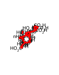 CCCCCC[C@@H]1NC(=O)[C@H](Cc2ccc(CNC(=O)COCCOCCNC(=O)CC[C@H](C(=O)O)N3CCN(CC(=O)O)CCN(CC(=O)O)CCN(CC(=O)O)CC3)cc2)NC(=O)[C@H](Cc2ccccc2)N(C)C(=O)CNC(=O)CNC(=O)[C@H]2CCCN2C(=O)[C@H](CC(=O)O)NC(=O)[C@H](CCCCNC(=O)N2CCN(CC(=O)O)CC2)NC(=O)CNC(=O)[C@H](Cc2c[nH]c3ccccc23)NC1=O.O=C(O)C(F)(F)F